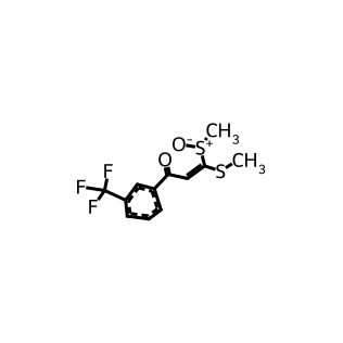 CSC(=CC(=O)c1cccc(C(F)(F)F)c1)[S+](C)[O-]